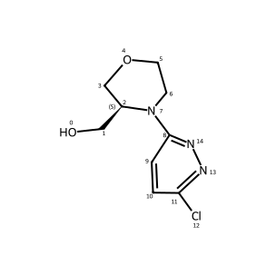 OC[C@H]1COCCN1c1ccc(Cl)nn1